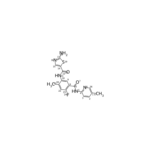 Cc1ccc(NC(=O)c2cc(NC(=O)c3cnc(N)s3)c(C)cc2F)nc1